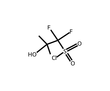 CC(C)(O)C(F)(F)S(=O)(=O)Cl